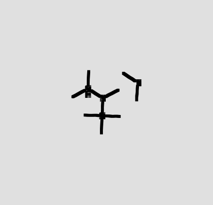 CN([SiH](C)C)[Si](C)(C)C.[CH3][Ti][CH3]